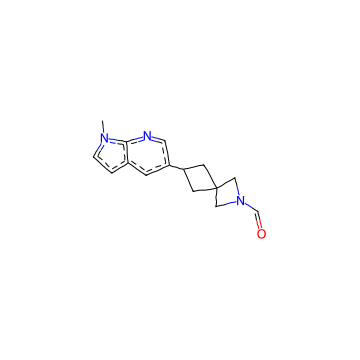 Cn1ccc2cc(C3CC4(C3)CN(C=O)C4)cnc21